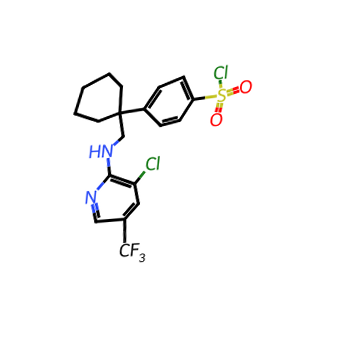 O=S(=O)(Cl)c1ccc(C2(CNc3ncc(C(F)(F)F)cc3Cl)CCCCC2)cc1